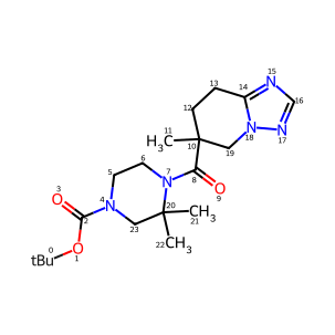 CC(C)(C)OC(=O)N1CCN(C(=O)C2(C)CCc3ncnn3C2)C(C)(C)C1